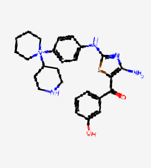 Nc1nc(Nc2ccc([N+]3(C4CCNCC4)CCCCC3)cc2)sc1C(=O)c1cccc(O)c1